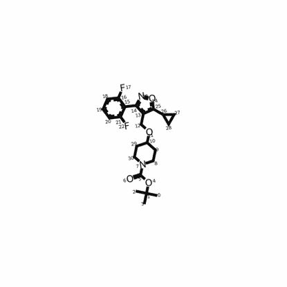 CC(C)(C)OC(=O)N1CCC(OCc2c(-c3c(F)cccc3F)noc2C2CC2)CC1